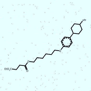 CCCC1CCC(c2ccc(OCCCCCCOC(=O)CCC(=O)OCC)cc2)CC1